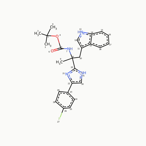 CC(C)(C)OC(=O)NC(C)(Cc1c[nH]c2ccccc12)c1nc(-c2ccc(F)cc2)c[nH]1